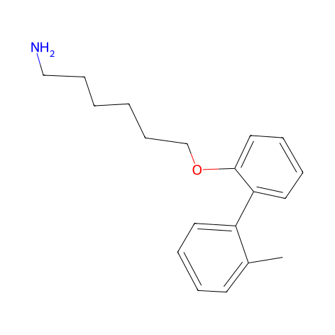 Cc1ccccc1-c1ccccc1OCCCCCCN